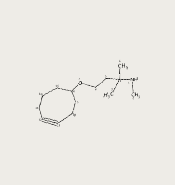 CNC(C)(C)CCOC1CCC#CCCC1